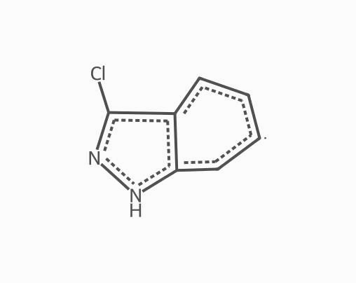 Clc1n[nH]c2c[c]ccc12